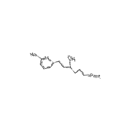 CCCCCC=CCC(O)C=Cc1ccc[c]([Na])n1